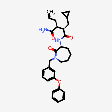 C=CC[C@H](C(N)=O)[C@@H](CC1CC1)C(=O)N[C@H]1CCCCN(Cc2cccc(Oc3ccccc3)c2)C1=O